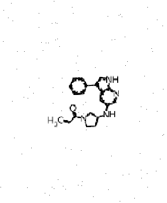 C=CC(=O)N1CCC(Nc2cnc3[nH]cc(-c4ccccc4)c3c2)C1